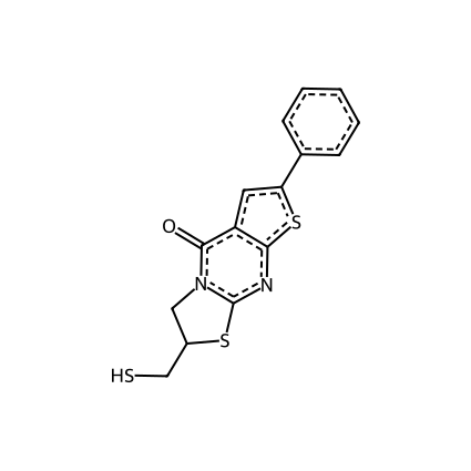 O=c1c2cc(-c3ccccc3)sc2nc2n1CC(CS)S2